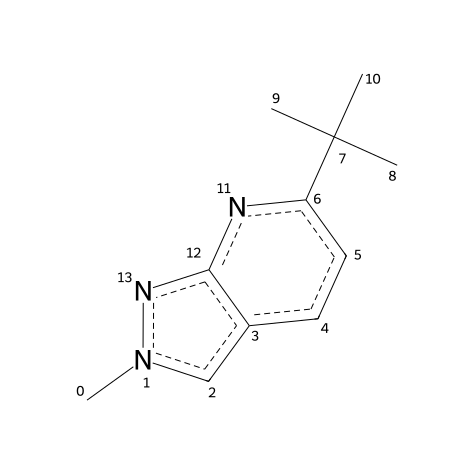 Cn1cc2ccc(C(C)(C)C)nc2n1